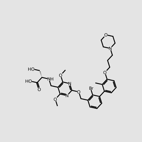 COc1nc(OCc2cccc(-c3cccc(OCCCN4CCOCC4)c3C)c2Br)nc(OC)c1CN[C@@H](CO)C(=O)O